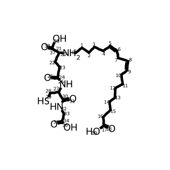 CCCCC/C=C\C/C=C\CCCCCCCC(=O)O.NC(CCC(=O)NC(CS)C(=O)NCC(=O)O)C(=O)O